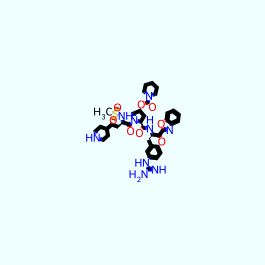 CS(=O)(=O)N[C@H](CCC1CCNCC1)C(=O)N1C[C@H](OC(=O)N2CCCCC2)C[C@H]1C(=O)N[C@@H](Cc1cccc(NC(=N)N)c1)C(=O)c1nc2ccccc2o1